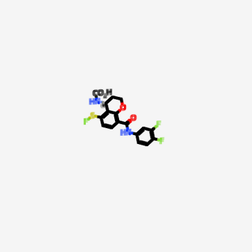 O=C(O)N[C@@H]1CCOc2c(C(=O)Nc3ccc(F)c(F)c3)ccc(SF)c21